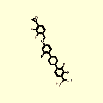 CC(O)c1ccc(C2CCC(c3ccc(OCc4ccc(C5CO5)c(F)c4F)cc3F)CC2)c(F)c1F